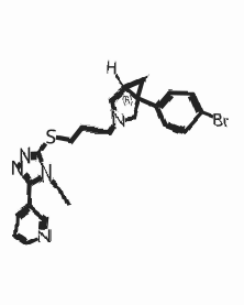 CCn1c(SCCCN2C[C@@H]3CC3(c3ccc(Br)cc3)C2)nnc1-c1cccnc1